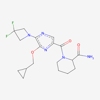 NC(=O)C1CCCCN1C(=O)c1cnc(N2CC(F)(F)C2)c(OCC2CC2)n1